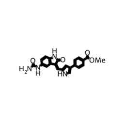 COC(=O)c1ccc(-c2c[nH]c(/C=C3\C(=O)Nc4ccc(NC(N)=O)cc43)c2)cc1